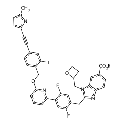 Cn1ccc(C#Cc2ccc(COc3cccc(-c4cc(F)c(Cc5nc6ccc(C(=O)O)cc6n5CC5CCO5)cc4F)n3)c(F)c2)n1